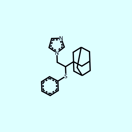 c1ccc(SC(Cn2ccnc2)C23CC4CC(CC(C4)C2)C3)cc1